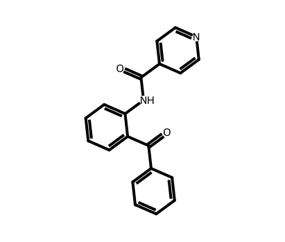 O=C(Nc1ccccc1C(=O)c1ccccc1)c1ccncc1